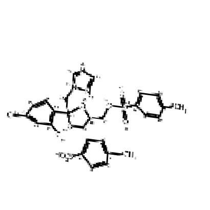 Cc1ccc(S(=O)(=O)O)cc1.Cc1ccc(S(=O)(=O)OC[C@H]2CO[C@](Cn3cncn3)(c3ccc(Cl)cc3Cl)O2)cc1